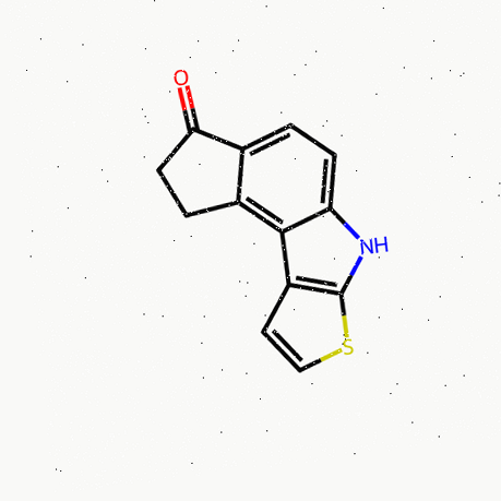 O=C1CCc2c1ccc1[nH]c3sccc3c21